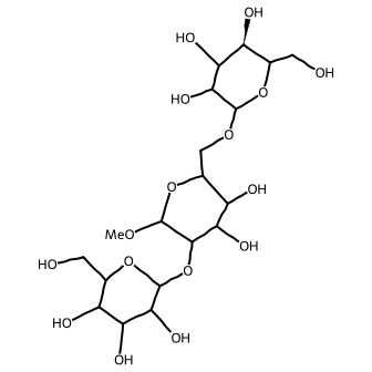 COC1OC(COC2OC(CO)[C@H](O)C(O)C2O)C(O)C(O)C1OC1OC(CO)C(O)C(O)C1O